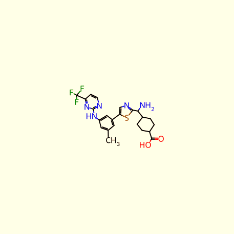 Cc1cc(Nc2nccc(C(F)(F)F)n2)cc(-c2cnc(C(N)C3CCC(C(=O)O)CC3)s2)c1